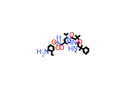 CCc1cc(S(=O)(=O)NC(=O)C(C)=C[C@H](C(C)C)N(C)C(=O)[C@@H](NC(=O)[C@@H](NC)C(C)(C)c2ccccc2)C(C)(C)C)ccc1N